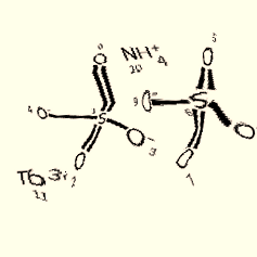 O=S(=O)([O-])[O-].O=S(=O)([O-])[O-].[NH4+].[Tb+3]